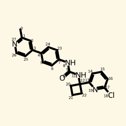 Cc1cc(-c2ccc(NC(=O)NC3(c4cccc(Cl)n4)CCC3)cc2)ccn1